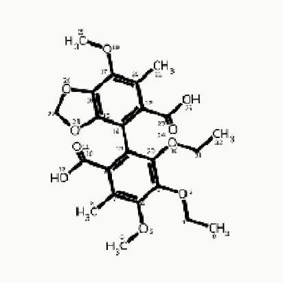 CCOc1c(OC)c(C)c(C(=O)O)c(-c2c3c(c(OC)c(C)c2C(=O)O)OCO3)c1OCC